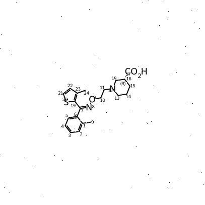 Cc1ccccc1C(=NOCCN1CCC[C@@H](C(=O)O)C1)c1sccc1C